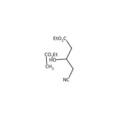 CCOC(=O)CC(O)CC#N.CCOC(C)=O